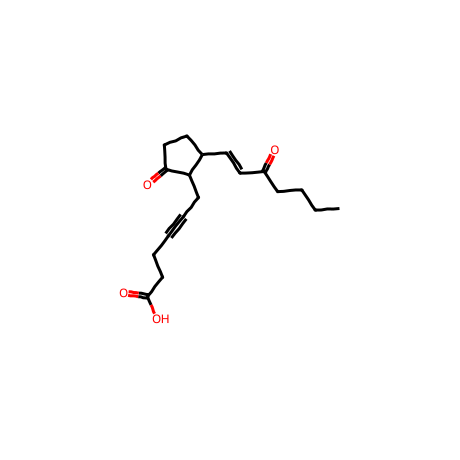 CCCCC(=O)/C=C/C1CCC(=O)C1CC#CCCC(=O)O